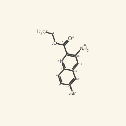 CCOC(=O)c1nc2ccc(Br)cc2cc1N